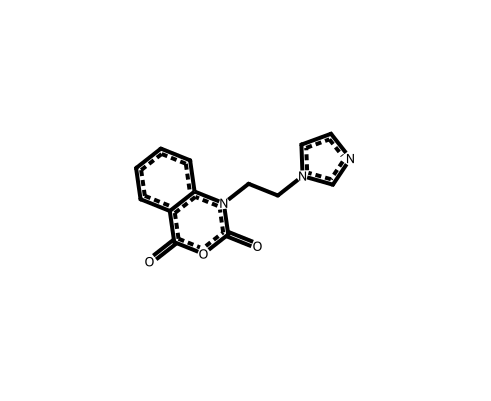 O=c1oc(=O)n(CCn2ccnc2)c2ccccc12